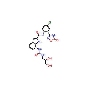 Cn1c(C(=O)Nc2ccc(Cl)cc2-c2noc(=O)[nH]2)cc2cccc(NC(=O)NCC(O)CO)c21